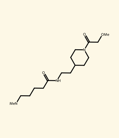 CNCCCCC(=O)NCCC1CCN(C(=O)COC)CC1